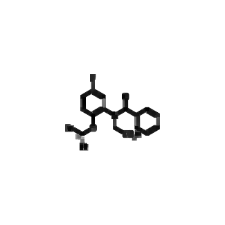 CC[C@H](Br)Oc1ccc(F)cc1N(CC(=O)O)C(=O)c1ccccc1